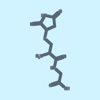 NC(CSC1CC(=O)NC1=O)C(=O)NCC(=O)O